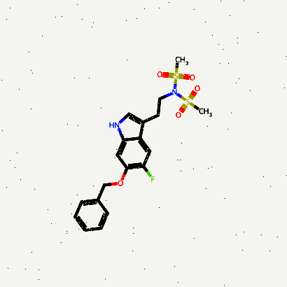 CS(=O)(=O)N(CCc1c[nH]c2cc(OCc3ccccc3)c(F)cc12)S(C)(=O)=O